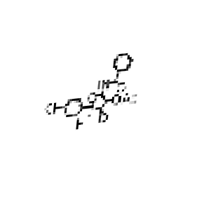 CC(=O)OC1=C(NC(=O)c2ccccc2)OC(C)(c2ccc(Cl)cc2F)C1=O